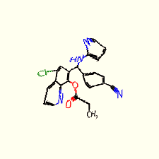 CCC(=O)Oc1c(C(Nc2ccccn2)c2ccc(C#N)cc2)cc(Cl)c2cccnc12